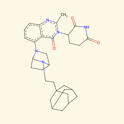 Cc1nc2cccc(N3CC4CCC3CN4CCC34CC5CC(CC(C5)C3)C4)c2c(=O)n1C1CCC(=O)NC1=O